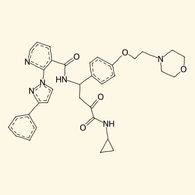 O=C(CC(NC(=O)c1cccnc1-n1ccc(-c2ccccc2)n1)c1ccc(OCCN2CCOCC2)cc1)C(=O)NC1CC1